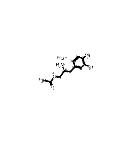 Cl.NC(=O)OC[C@@H](N)Cc1ccc(O)c(O)c1